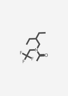 CCC(CC)CN(CC(F)(F)F)C(C)=O